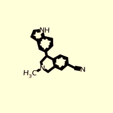 CN1Cc2cc(C#N)ccc2C(c2ccc3[nH]ccc3c2)C1